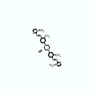 Cc1cc(N2CCN(c3ccc(/N=N/c4scc[n+]4C)c(C)c3)CC2)ccc1/N=N/c1scc[n+]1C.[Br-].[Br-]